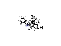 CC(c1c[nH]c2ccc(Br)cc12)/[N+](O)=C/c1ccccc1